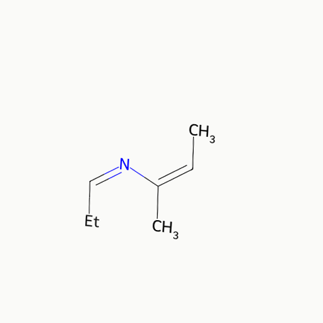 C/C=C(C)\N=C/CC